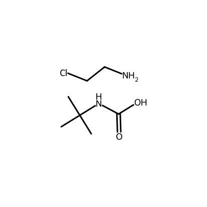 CC(C)(C)NC(=O)O.NCCCl